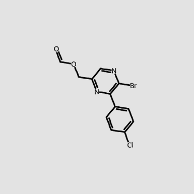 O=COCc1cnc(Br)c(-c2ccc(Cl)cc2)n1